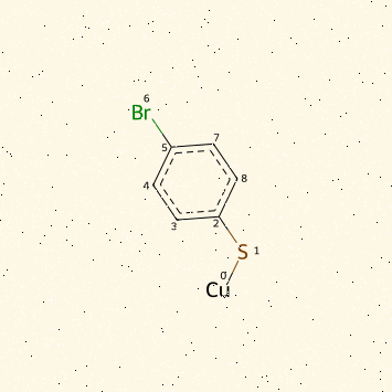 [Cu][S]c1ccc(Br)cc1